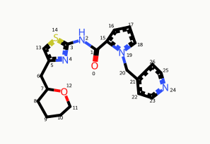 O=C(Nc1nc(CC2CCCCO2)cs1)c1cccn1Cc1ccncc1